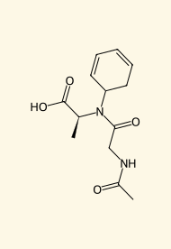 CC(=O)NCC(=O)N(C1C=CC=CC1)[C@@H](C)C(=O)O